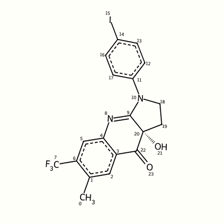 Cc1cc2c(cc1C(F)(F)F)N=C1N(c3ccc(I)cc3)CC[C@@]1(O)C2=O